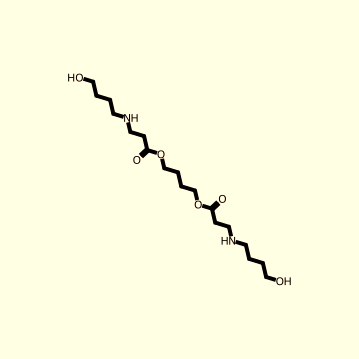 O=C(CCNCCCCO)OCCCCOC(=O)CCNCCCCO